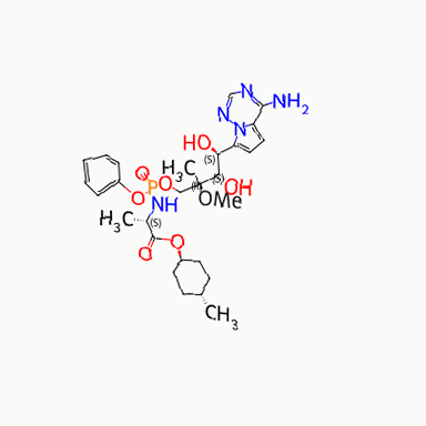 CO[C@](C)(COP(=O)(N[C@@H](C)C(=O)O[C@H]1CC[C@H](C)CC1)Oc1ccccc1)[C@@H](O)[C@@H](O)c1ccc2c(N)ncnn12